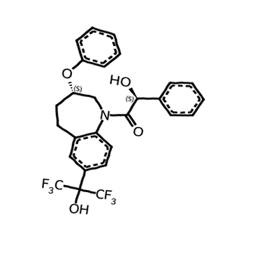 O=C([C@@H](O)c1ccccc1)N1C[C@@H](Oc2ccccc2)CCc2cc(C(O)(C(F)(F)F)C(F)(F)F)ccc21